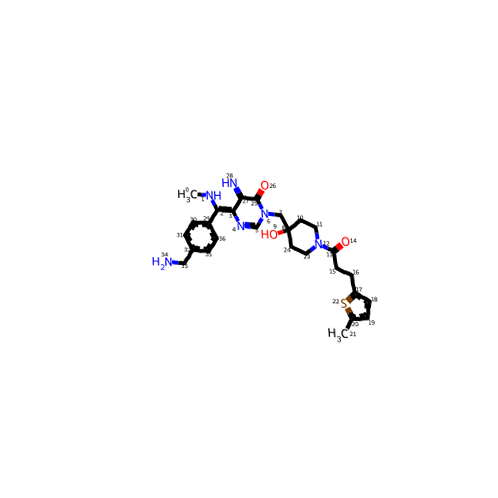 CN/C(=C1/N=CN(CC2(O)CCN(C(=O)CCc3ccc(C)s3)CC2)C(=O)C1=N)c1ccc(CN)cc1